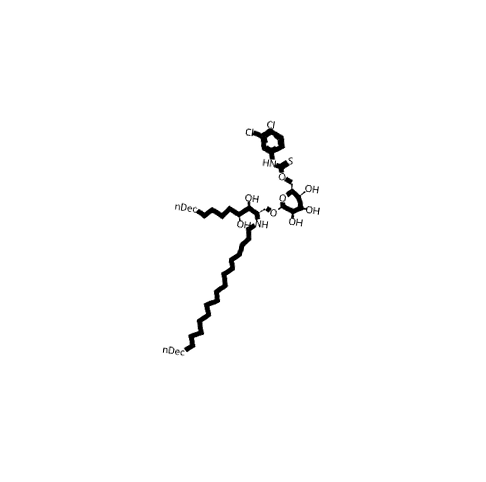 CCCCCCCCCCCCCCCCCCCCCCCCCCN[C@@H](CO[C@@H]1O[C@H](COC(=S)Nc2ccc(Cl)c(Cl)c2)[C@H](O)[C@H](O)[C@H]1O)[C@H](O)[C@H](O)CCCCCCCCCCCCCC